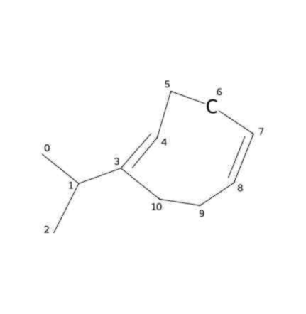 CC(C)/C1=C\CC/C=C\CC1